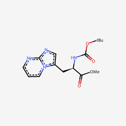 COC(=O)[C@@H](Cc1cnc2ncccn12)NC(=O)OC(C)(C)C